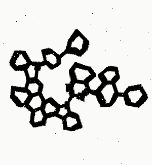 c1ccc(-c2ccc(-n3c4ccccc4c4c5cccc6c7cccc8c7c(cc7c8c8ccccc8n7-c7nc(-c8ccc(-c9ccccc9)c9ccccc89)c8ccccc8n7)c(cc43)c65)cc2)cc1